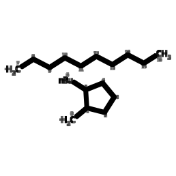 [CH2]C1CCCC1CCCC.[CH2]CCCCCCCCC